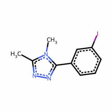 Cc1nnc(-c2cccc(I)c2)n1C